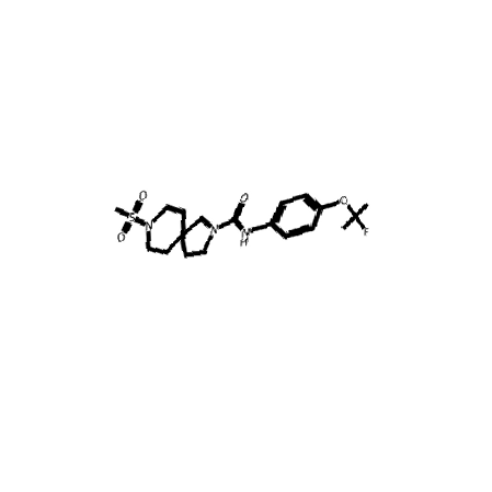 CC(C)(F)Oc1ccc(NC(=O)N2CCC3(CCN(S(C)(=O)=O)CC3)C2)cc1